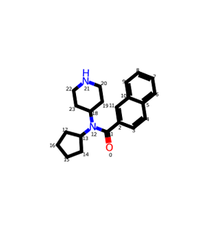 O=C(c1ccc2ccccc2c1)N(C1CCCC1)C1CCNCC1